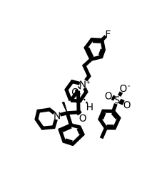 C[C@@](C(=O)[C@@H]1O[N+]2(CCc3ccc(F)cc3)CCC1CC2)(c1ccccc1)N1CCCCC1.Cc1ccc(S(=O)(=O)[O-])cc1